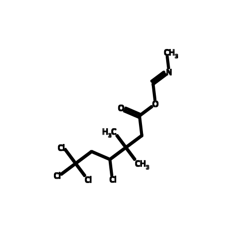 CN=COC(=O)CC(C)(C)C(Cl)CC(Cl)(Cl)Cl